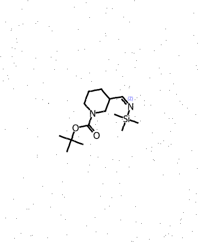 CC(C)(C)OC(=O)N1CCCC(/C=N\[Si](C)(C)C)C1